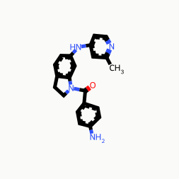 Cc1cc(Nc2ccc3c(c2)N(C(=O)c2ccc(N)cc2)CC3)ccn1